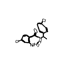 CC(NC(=O)c1ccc(Cl)cc1N)c1ccc(Cl)cc1